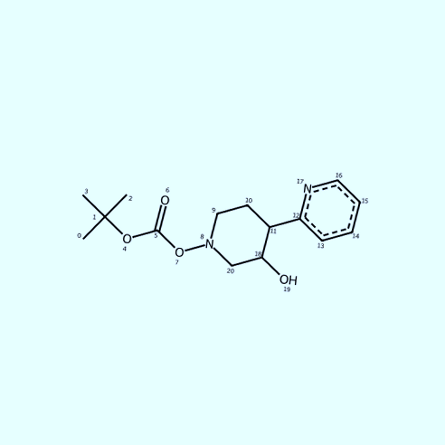 CC(C)(C)OC(=O)ON1CCC(c2ccccn2)C(O)C1